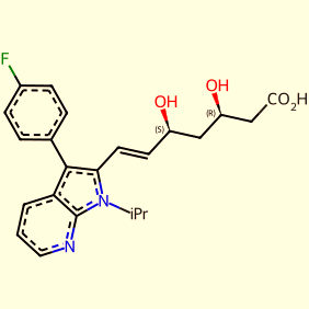 CC(C)n1c(C=C[C@@H](O)C[C@@H](O)CC(=O)O)c(-c2ccc(F)cc2)c2cccnc21